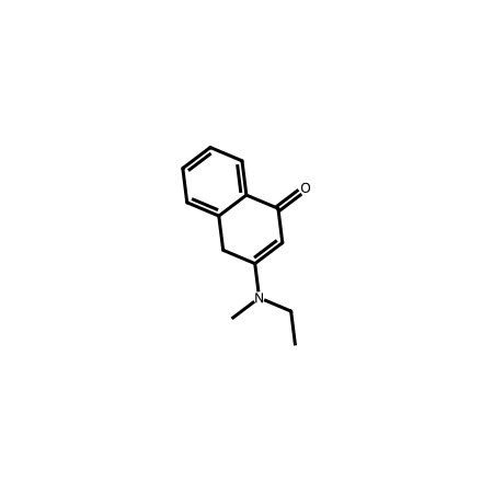 CCN(C)C1=CC(=O)c2ccccc2C1